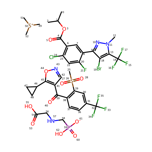 CC(C)OC(=O)c1cc(-c2nn(C)c(C(F)(F)F)c2Br)c(F)cc1Cl.CS(=O)(=O)c1cc(C(F)(F)F)ccc1C(=O)c1cnoc1C1CC1.C[S+](C)C.O=C(O)CNCP(=O)([O-])O